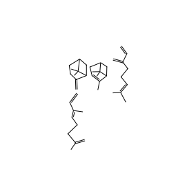 C=C/C(C)=C/CCC(=C)C.C=C1CCC2CC1C2(C)C.C=CC(=C)CCC=C(C)C.CC1=CCC2CC1C2(C)C